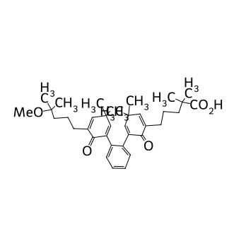 COC(C)(C)CCCC1=CC(C)(C)C=C(c2ccccc2C2=CC(C)(C)C=C(CCCC(C)(C)C(=O)O)C2=O)C1=O